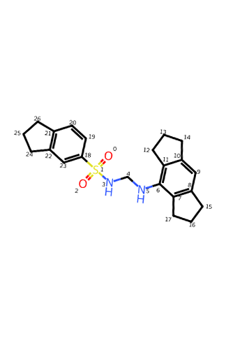 O=S(=O)(NCNc1c2c(cc3c1CCC3)CCC2)c1ccc2c(c1)CCC2